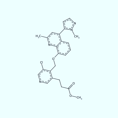 COC(=O)CCc1cncc(Cl)c1COc1cccc2c(-c3ccnn3C)cc(C)nc12